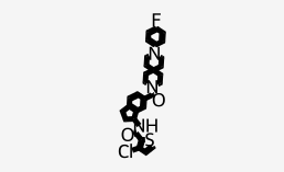 O=C(NC1CCc2ccc(C(=O)N3CCC4(CC3)CCN(c3ccc(F)cc3)CC4)cc21)c1sccc1Cl